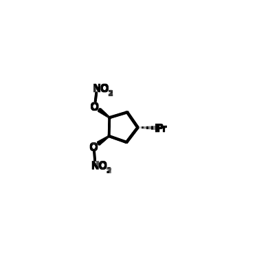 CC(C)[C@H]1C[C@H](O[N+](=O)[O-])[C@H](O[N+](=O)[O-])C1